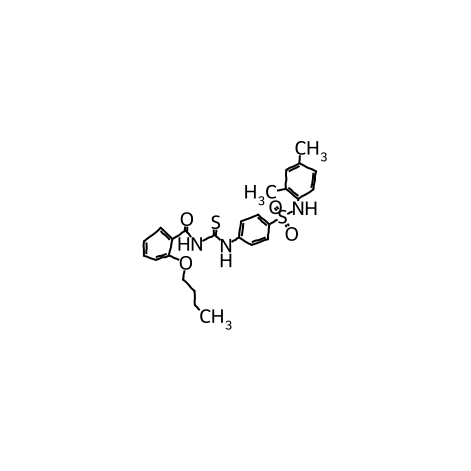 CCCCOc1ccccc1C(=O)NC(=S)Nc1ccc(S(=O)(=O)Nc2ccc(C)cc2C)cc1